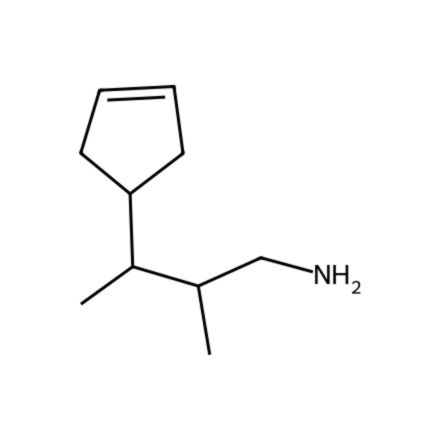 CC(CN)C(C)C1CC=CC1